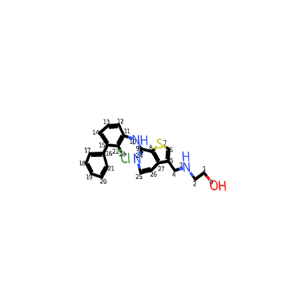 OCCNCc1csc2c(Nc3cccc(-c4ccccc4)c3Cl)nccc12